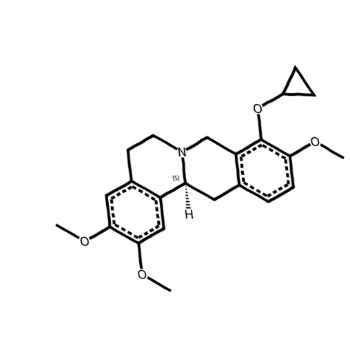 COc1cc2c(cc1OC)[C@@H]1Cc3ccc(OC)c(OC4CC4)c3CN1CC2